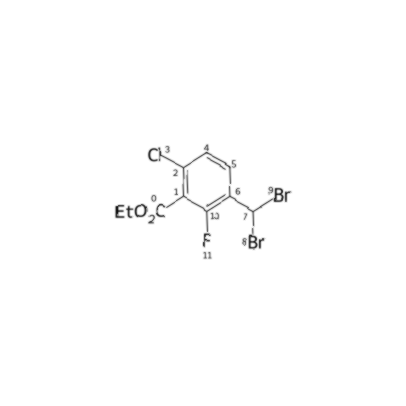 CCOC(=O)c1c(Cl)ccc(C(Br)Br)c1F